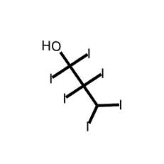 OC(I)(I)C(I)(I)C(I)I